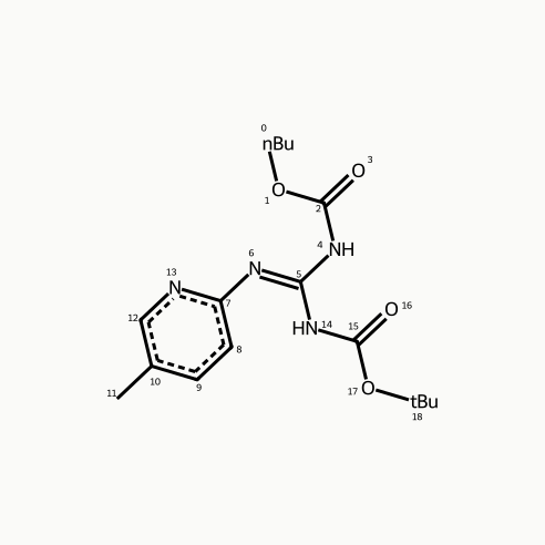 CCCCOC(=O)NC(=Nc1ccc(C)cn1)NC(=O)OC(C)(C)C